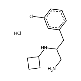 Cl.NCC(Cc1cccc(Cl)c1)NC1CCC1